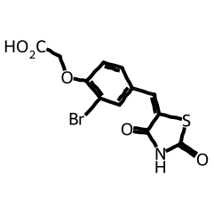 O=C(O)COc1ccc(/C=C2/SC(=O)NC2=O)cc1Br